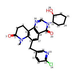 CN1C(=O)CCc2c1c(Cc1ccc(Cl)nc1)cc1c(=O)n([C@H]3CCCC[C@@H]3O)cnc21